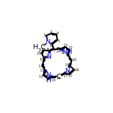 CN1CC=CC=C1c1c2nc(cc3ccc(cc4nc(cc5ccc1[nH]5)C=C4)[nH]3)C=C2